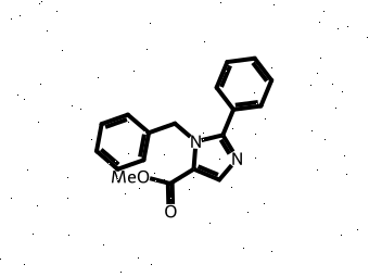 COC(=O)c1cnc(-c2ccccc2)n1Cc1ccccc1